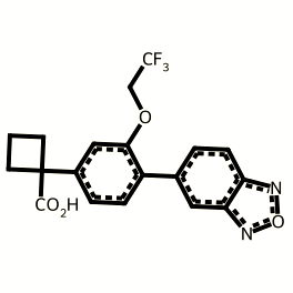 O=C(O)C1(c2ccc(-c3ccc4nonc4c3)c(OCC(F)(F)F)c2)CCC1